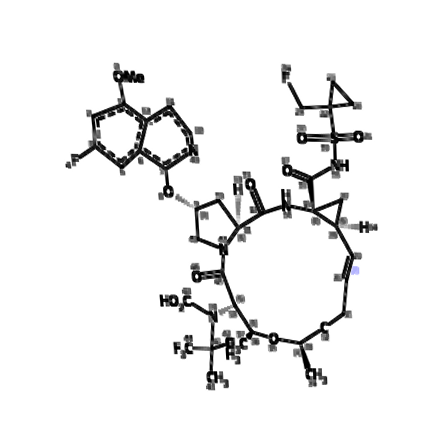 COc1cc(F)cc2c(O[C@@H]3C[C@H]4C(=O)N[C@]5(C(=O)NS(=O)(=O)C6(CF)CC6)C[C@H]5/C=C\CC[C@@H](C)O[C@@H](C)[C@H](N(C(=O)O)C(C)(C)C(F)(F)F)C(=O)N4C3)nccc12